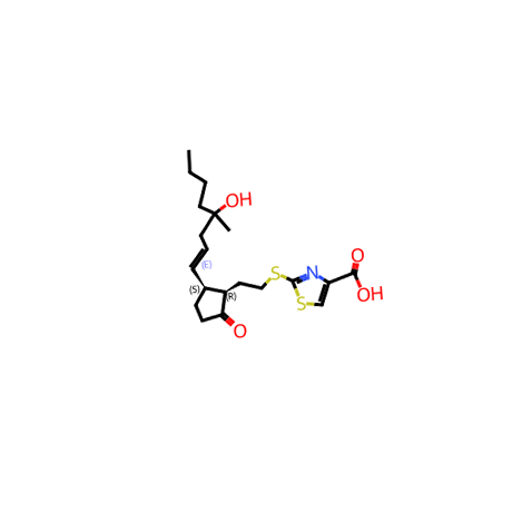 CCCCC(C)(O)C/C=C/[C@@H]1CCC(=O)[C@@H]1CCSc1nc(C(=O)O)cs1